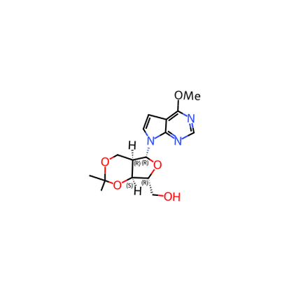 COc1ncnc2c1ccn2[C@@H]1O[C@H](CO)[C@H]2OC(C)(C)OC[C@H]21